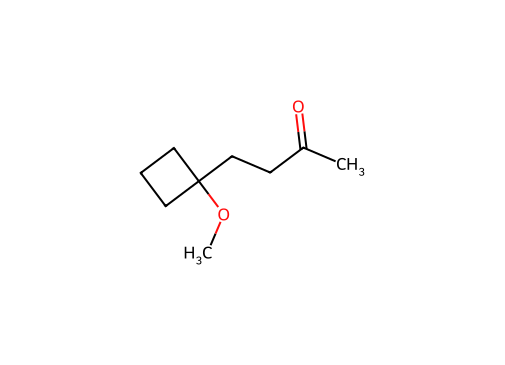 COC1(CCC(C)=O)CCC1